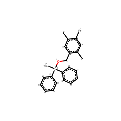 CCc1cc(C)c(CO[Si](c2ccccc2)(c2ccccc2)C(C)(C)C)cc1C